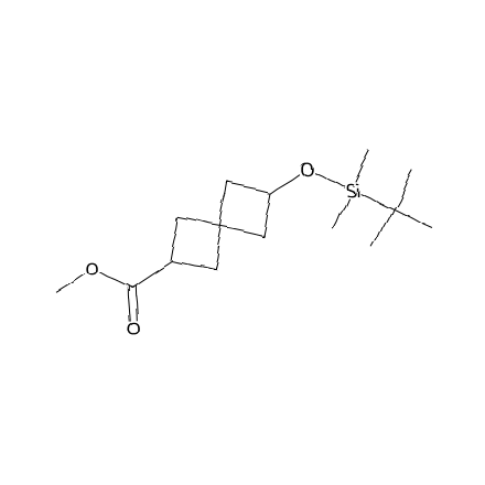 COC(=O)C1CC2(CC(O[Si](C)(C)C(C)(C)C)C2)C1